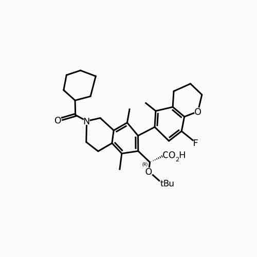 Cc1c(-c2c(C)c3c(c(C)c2[C@@H](OC(C)(C)C)C(=O)O)CCN(C(=O)C2CCCCC2)C3)cc(F)c2c1CCCO2